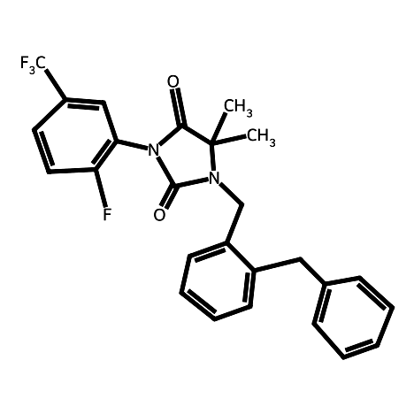 CC1(C)C(=O)N(c2cc(C(F)(F)F)ccc2F)C(=O)N1Cc1ccccc1Cc1ccccc1